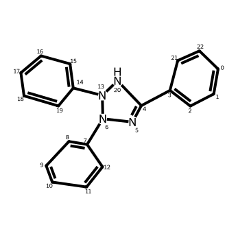 c1ccc(C2=NN(c3ccccc3)N(c3ccccc3)N2)cc1